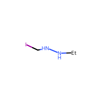 CCNNCI